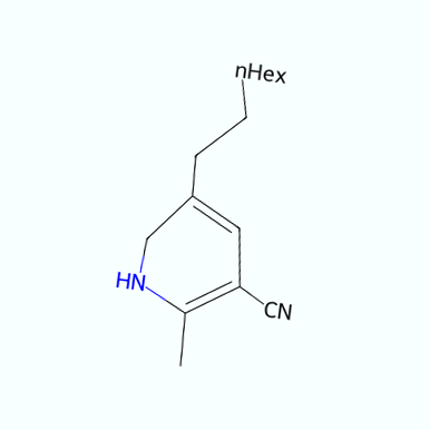 CCCCCCCCC1=CC(C#N)=C(C)NC1